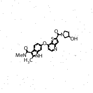 CNC(=O)c1c(C)[nH]c2cc(Oc3ccnc4cc(C(=O)N5CCC(O)C5)sc34)ccc12